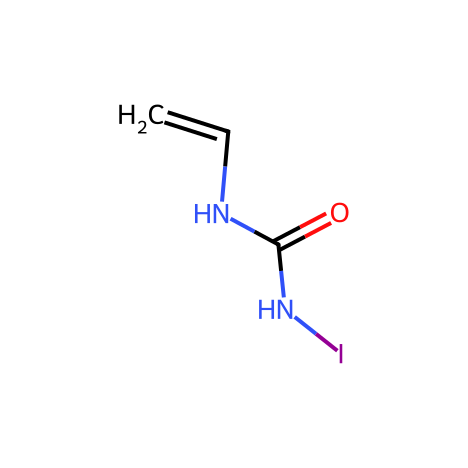 C=CNC(=O)NI